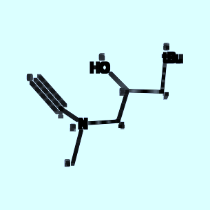 C#CN(C)CC(O)CC(C)(C)C